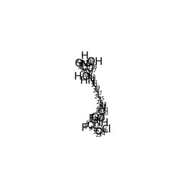 O=C(Nc1c(F)cc(F)cc1-c1cccc(Cl)c1)OC1CCN(CCCCCCCCCNC[C@H](O)c2ccc(O)c3[nH]c(=O)ccc23)CC1